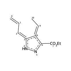 C=C/C=c1/[nH]nc(C(=O)OCC)/c1=C/C